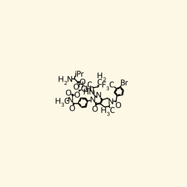 C=CC(C)Nc1nc2c(c(=O)n1-c1ccc(C(=O)N(C)C(=O)OC(C)OC(=O)C(N)C(C)C)cc1)CC(C)N(C(=O)c1ccc(Br)c(C(F)(F)F)c1)C2